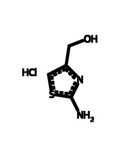 Cl.Nc1nc(CO)cs1